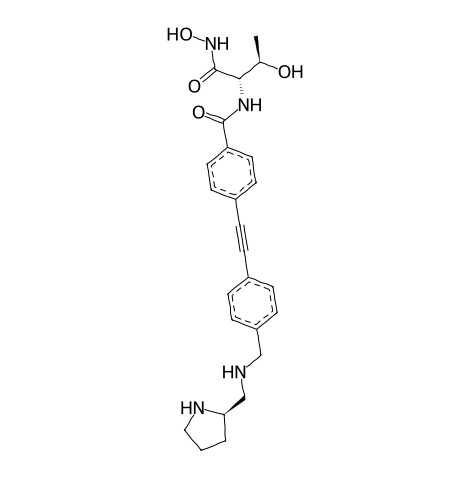 C[C@@H](O)[C@H](NC(=O)c1ccc(C#Cc2ccc(CNC[C@H]3CCCN3)cc2)cc1)C(=O)NO